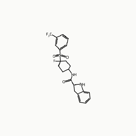 O=C(NC1CCC(F)(S(=O)(=O)c2cccc(C(F)(F)F)c2)CC1)C1Cc2ccccc2N1